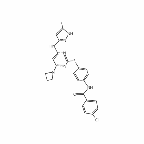 Cc1cc(Nc2cc(N3CCC3)nc(Sc3ccc(NC(=O)c4ccc(Cl)cc4)cc3)n2)n[nH]1